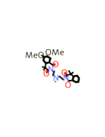 COc1cc2c(cc1OC)C(C)(C)C(=O)N(CCN(C)CCN1C(=O)c3ccccc3C(C)(C)C1=O)C2=O